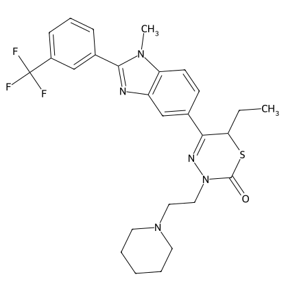 CCC1SC(=O)N(CCN2CCCCC2)N=C1c1ccc2c(c1)nc(-c1cccc(C(F)(F)F)c1)n2C